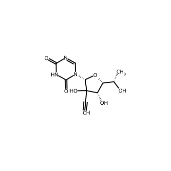 C#CC1(O)[C@@H](O)[C@@H]([C@H](C)O)O[C@H]1n1cnc(=O)[nH]c1=O